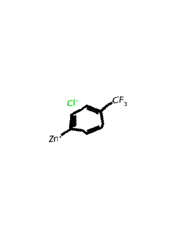 FC(F)(F)c1cc[c]([Zn+])cc1.[Cl-]